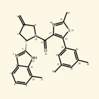 C=C1C[C@@H](c2nc3cccc(C)c3[nH]2)N(C(=O)c2nc(C)sc2-c2cc(C)cc(C)c2)C1